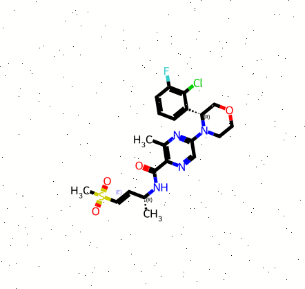 Cc1nc(N2CCOC[C@H]2c2cccc(F)c2Cl)cnc1C(=O)N[C@H](C)/C=C/S(C)(=O)=O